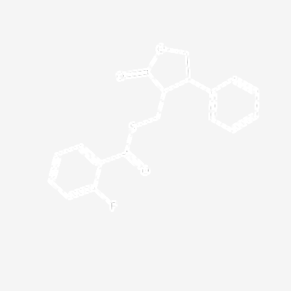 O=C(SCC1C(=O)OCC1c1ccccc1)c1ccccc1F